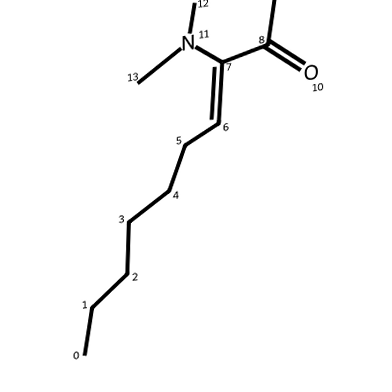 CCCCCCC=C(C(C)=O)N(C)C